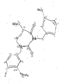 COc1cccc(Cn2c(=O)c(OC)nn(-c3ccc(F)c(NC(C)=O)c3)c2=O)c1